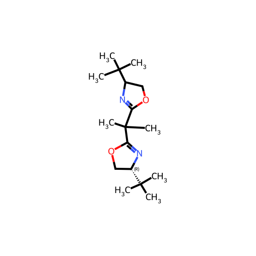 CC(C)(C1=NC(C(C)(C)C)CO1)C1=N[C@H](C(C)(C)C)CO1